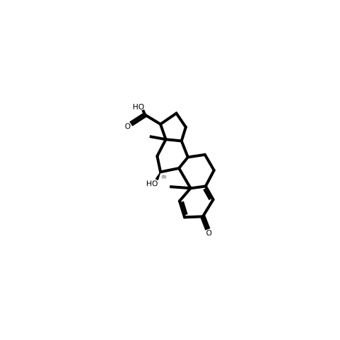 CC12C=CC(=O)C=C1CCC1C2[C@@H](O)CC2(C)C(C(=O)O)CCC12